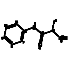 CCCCC(C)C(=O)Sc1ccccc1